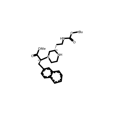 COC(=O)[C@H](Cc1ccc2ccccc2c1)N1CCN[C@@H](CCNC(=O)OC(C)(C)C)C1